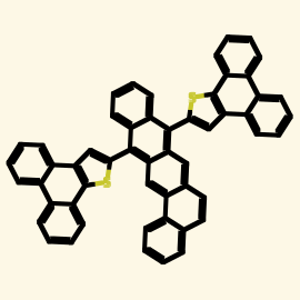 c1ccc2c(c1)ccc1cc3c(-c4cc5c6ccccc6c6ccccc6c5s4)c4ccccc4c(-c4cc5c6ccccc6c6ccccc6c5s4)c3cc12